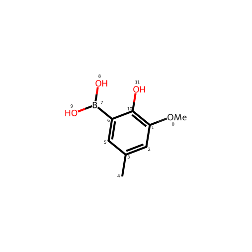 COc1cc(C)cc(B(O)O)c1O